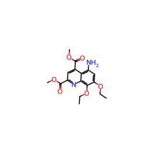 CCOc1cc(N)c2c(C(=O)OC)cc(C(=O)OC)nc2c1OCC